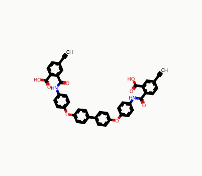 C#Cc1ccc(C(=O)Nc2ccc(Oc3ccc(-c4ccc(Oc5ccc(NC(=O)c6cc(C#C)ccc6C(=O)O)cc5)cc4)cc3)cc2)c(C(=O)O)c1